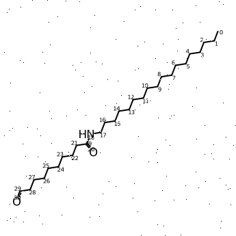 CCCCCCCCCCCCCCCCCCNC(=O)CCCCCCCCC=O